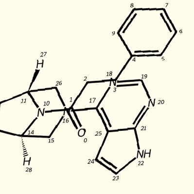 O=C(CCc1ccccc1)N1[C@@H]2CC[C@@H]1CN(c1ncnc3[nH]ccc13)C2